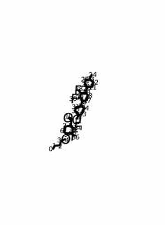 CCCCOc1ccc(C(=O)Oc2ccc(-c3ccc(-c4ccc(C)cc4)c(F)c3F)cc2)c(F)c1F